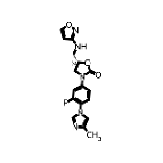 Cc1cn(-c2ccc(N3C[C@H](CNc4ccon4)OC3=O)cc2F)cn1